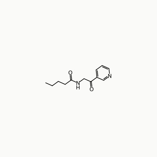 CCCCC(=O)NCC(=O)c1cccnc1